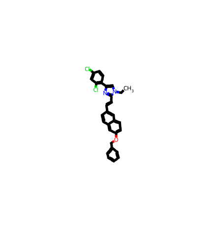 CCn1cc(-c2ccc(Cl)cc2Cl)nc1C=Cc1ccc2cc(OCc3ccccc3)ccc2c1